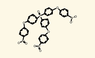 O=[N+]([O-])c1ccc(Oc2ccc(P(=O)(c3ccc(Oc4ccc([N+](=O)[O-])cc4)cc3)c3ccc(Oc4ccc([N+](=O)[O-])cc4)cc3)cc2)cc1